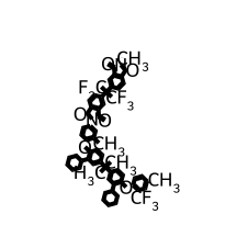 Cc1ccc(Oc2ccc(C(C)(C)c3ccc(Oc4ccc(N5C(=O)c6ccc(C(c7ccc8c(c7)C(=O)N(C)C8=O)(C(F)(F)F)C(F)(F)F)cc6C5=O)cc4C)c(C4CCCCC4)c3)cc2C2CCCCC2)c(C(F)(F)F)c1